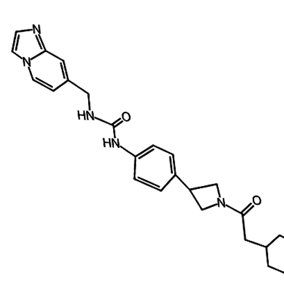 O=C(NCc1ccn2ccnc2c1)Nc1ccc(C2CN(C(=O)CC3CCOCC3)C2)cc1